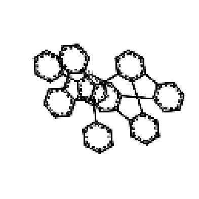 c1ccc(-c2nc(-c3ccccc3)nc(-c3cccc4c3C3(c5ccccc5-c5cc6c7ccccc7c7ccccc7c6cc53)c3ccccc3-4)n2)cc1